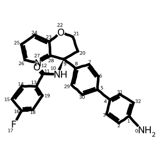 Nc1ccc(-c2ccc([C@@]3(NC(=O)c4ccc(F)cc4)CCOc4cccnc43)cc2)cc1